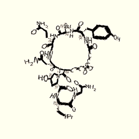 CC[C@H](C)[C@@H]1NC(=O)[C@H](Cc2ccc(O)cc2)NC(=O)CCS(=O)(=O)CC[C@@H](C(=O)N2C[C@H](O)C[C@H]2C(=O)N[C@@H](CC(C)C)C(=O)NCC(N)=O)NC(=O)[C@H](CC(N)=O)NC(=O)[C@H](CCC(N)=O)NC1=O